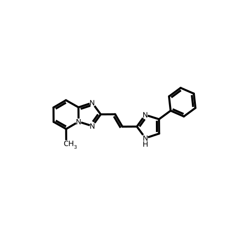 Cc1cccc2nc(C=Cc3nc(-c4ccccc4)c[nH]3)nn12